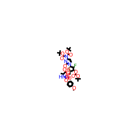 COc1ccc(OP(=O)(NC(C)C(=O)O)OC[C@H]2S[C@@H](n3ccc(N(C(=O)OC(C)(C)C)C(=O)OC(C)(C)C)nc3=O)[C@@H](F)[C@@H]2OC(=O)OC(C)(C)C)cc1